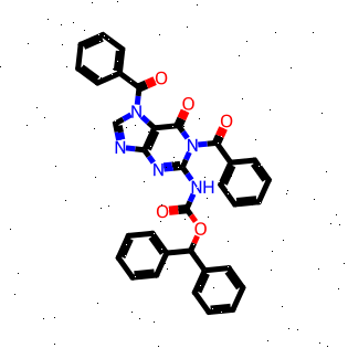 O=C(Nc1nc2ncn(C(=O)c3ccccc3)c2c(=O)n1C(=O)c1ccccc1)OC(c1ccccc1)c1ccccc1